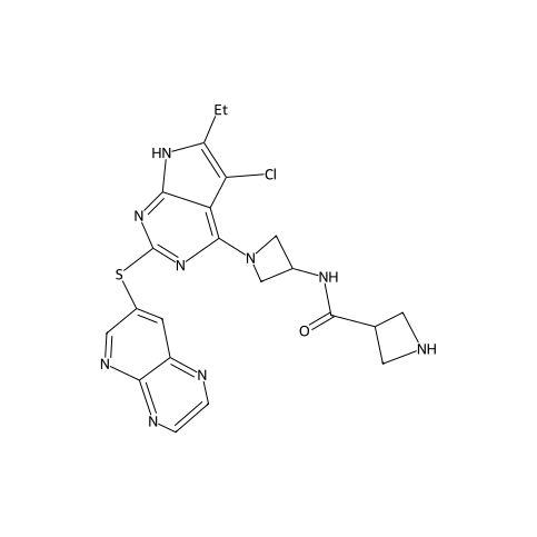 CCc1[nH]c2nc(Sc3cnc4nccnc4c3)nc(N3CC(NC(=O)C4CNC4)C3)c2c1Cl